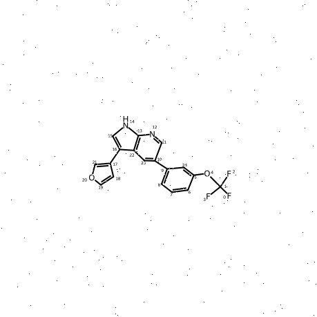 FC(F)(F)Oc1cccc(-c2cnc3[nH]cc(-c4ccoc4)c3c2)c1